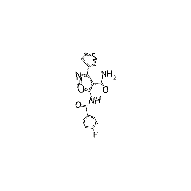 NC(=O)c1c(-c2ccsc2)noc1NC(=O)c1ccc(F)cc1